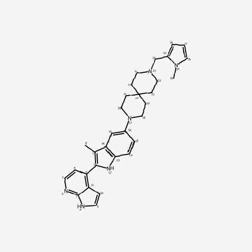 Cc1c(-c2ccnc3[nH]ccc23)[nH]c2ccc(N3CCC4(CCN(Cc5cccn5C)CC4)CC3)cc12